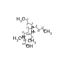 CCCC[PH](CCCC)(CCCC)CCCN(C)CCO